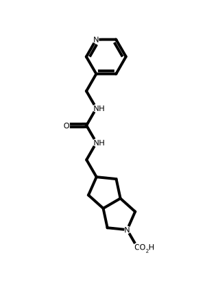 O=C(NCc1cccnc1)NCC1CC2CN(C(=O)O)CC2C1